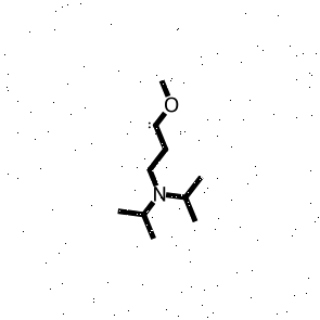 CO[C]CCN(C(C)C)C(C)C